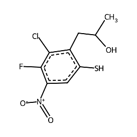 CC(O)Cc1c(S)cc([N+](=O)[O-])c(F)c1Cl